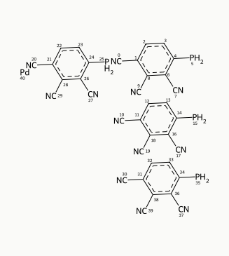 N#Cc1ccc(P)c(C#N)c1C#N.N#Cc1ccc(P)c(C#N)c1C#N.N#Cc1ccc(P)c(C#N)c1C#N.N#Cc1ccc(P)c(C#N)c1C#N.[Pd]